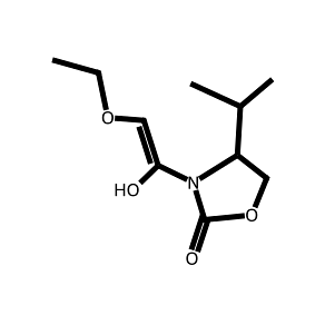 CCO/C=C(\O)N1C(=O)OCC1C(C)C